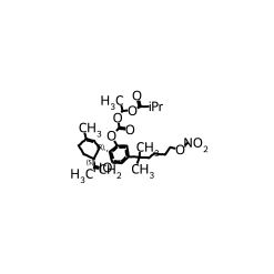 C=C(C)[C@H]1CCC(C)=C[C@@H]1c1c(O)cc(C(C)(C)CCCCO[N+](=O)[O-])cc1OC(=O)OC(C)OC(=O)C(C)C